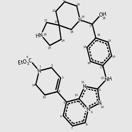 CCOC(=O)N1CC=C(c2cccn3nc(Nc4ccc(C(O)N5CCCC6(CCNC6)C5)cc4)nc23)CC1